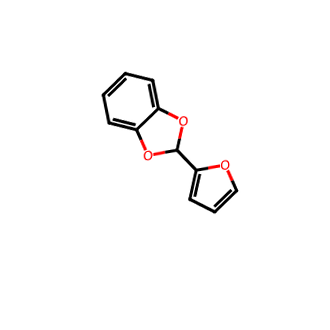 c1coc(C2Oc3ccccc3O2)c1